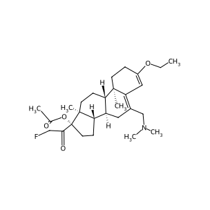 CCOC1=CC2=C(CN(C)C)C[C@@H]3[C@H](CC[C@@]4(C)[C@H]3CC[C@@]4(OC(C)=O)C(=O)CF)[C@@]2(C)CC1